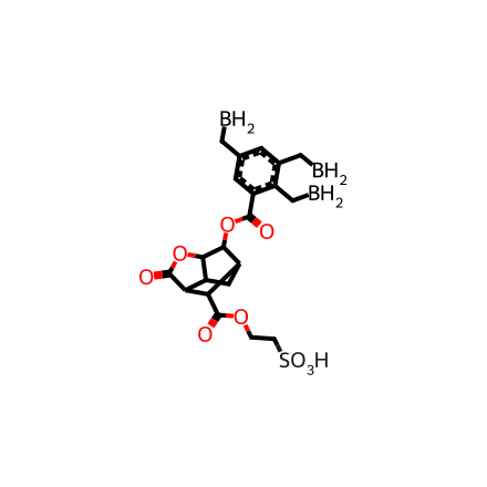 BCc1cc(CB)c(CB)c(C(=O)OC2C3CC4C2OC(=O)C4C3C(=O)OCCS(=O)(=O)O)c1